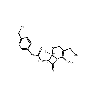 CC(=O)OCC1=C(C(=O)O)N2C(=O)[C@@H](NC(=O)Cc3ccc(CO)cc3)[C@H]2SC1